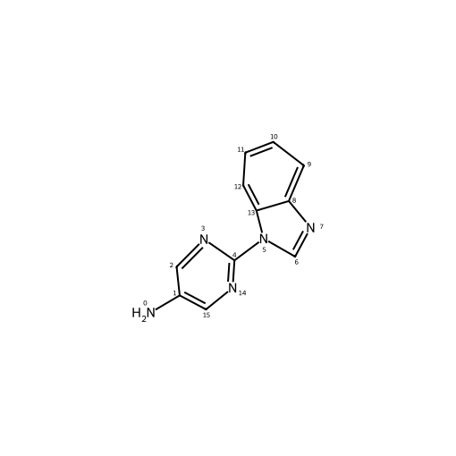 Nc1cnc(-n2cnc3ccccc32)nc1